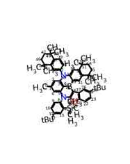 Cc1cc2c3c(c1)N(c1ccc(C(C)(C)C)cc1[Si](C)(C)C)c1oc4ccc(C(C)(C)C)cc4c1B3c1cc3c(cc1N2c1ccc2c(c1)C(C)(C)CCC2(C)C)C(C)(C)CCC3(C)C